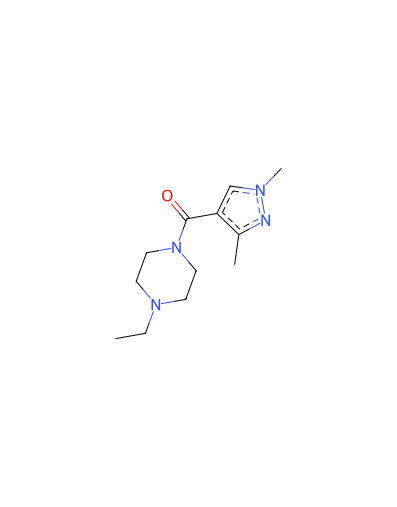 CCN1CCN(C(=O)c2cn(C)nc2C)CC1